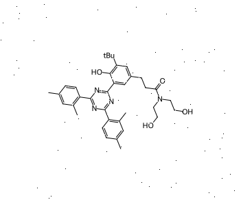 Cc1ccc(-c2nc(-c3ccc(C)cc3C)nc(-c3cc(CCC(=O)N(CCO)CCO)cc(C(C)(C)C)c3O)n2)c(C)c1